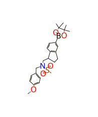 COc1ccc(CN(CC2CCc3cc(B4OC(C)(C)C(C)(C)O4)ccc32)S(C)(=O)=O)cc1